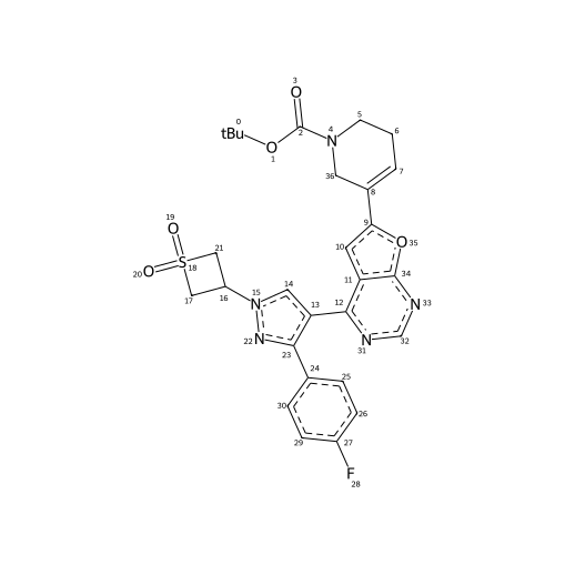 CC(C)(C)OC(=O)N1CCC=C(c2cc3c(-c4cn(C5CS(=O)(=O)C5)nc4-c4ccc(F)cc4)ncnc3o2)C1